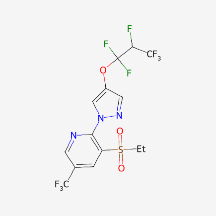 CCS(=O)(=O)c1cc(C(F)(F)F)cnc1-n1cc(OC(F)(F)C(F)C(F)(F)F)cn1